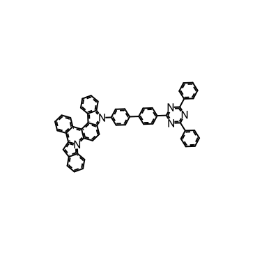 c1ccc(-c2nc(-c3ccccc3)nc(-c3ccc(-c4ccc(-n5c6ccccc6c6c7c8ccccc8c8cc9ccccc9n8c7ccc65)cc4)cc3)n2)cc1